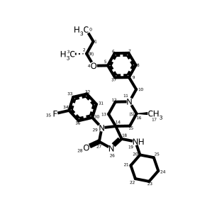 CC[C@@H](C)Oc1cccc(CN2CCC3(C[C@@H]2C)C(NC2CCCCC2)=NC(=O)N3c2cccc(F)c2)c1